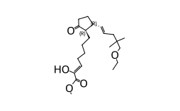 CCOCC(C)(C)CC=C[C@H]1CCC(=O)[C@@H]1CCCCC=C(O)C(=O)OC